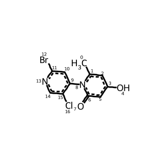 Cc1cc(O)cc(=O)n1-c1cc(Br)ncc1Cl